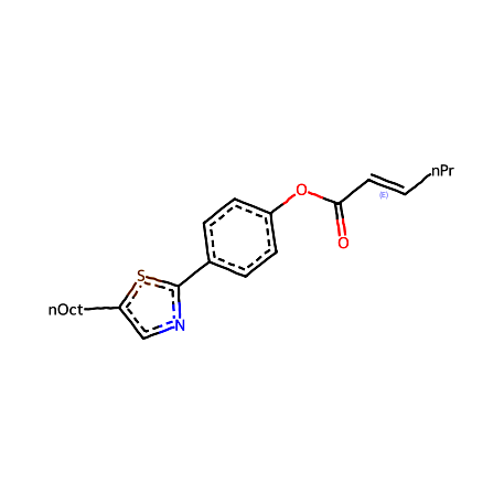 CCC/C=C/C(=O)Oc1ccc(-c2ncc(CCCCCCCC)s2)cc1